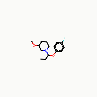 CCC(Oc1ccc(F)cc1)N1CC[CH]C(OC)C1